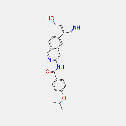 CC(C)Oc1ccc(C(=O)Nc2cc3cc(/C(C=N)=C\CO)ccc3cn2)cc1